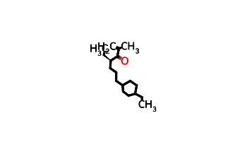 C=C(C)C(=O)[C@H](CC)CCCC1CCC(CC)CC1